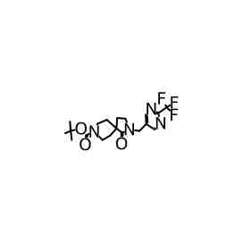 CC(C)(C)OC(=O)N1CCC2(CC1)CCN(Cc1cnc(C(F)(F)F)nc1)C2=O